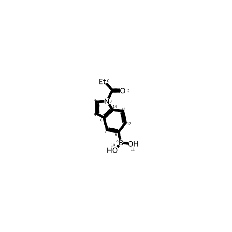 CCC(=O)n1ccc2cc(B(O)O)ccc21